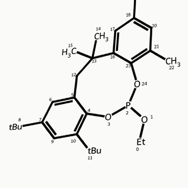 CCOP1Oc2c(cc(C(C)(C)C)cc2C(C)(C)C)CC(C)(C)c2cc(C(C)(C)C)cc(C)c2O1